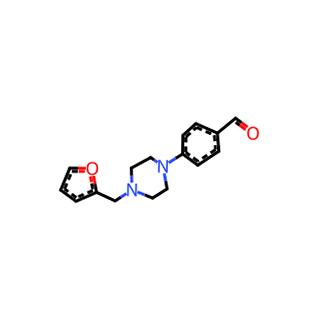 O=Cc1ccc(N2CCN(Cc3ccco3)CC2)cc1